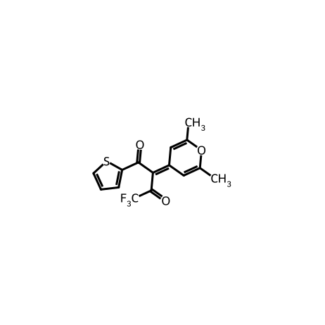 CC1=CC(=C(C(=O)c2cccs2)C(=O)C(F)(F)F)C=C(C)O1